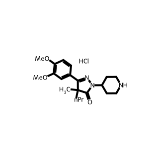 CCCC1(C)C(=O)N(C2CCNCC2)N=C1c1ccc(OC)c(OC)c1.Cl